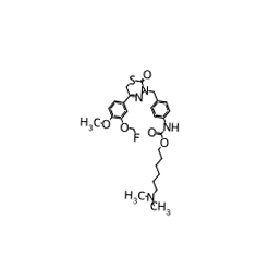 COc1ccc(C2=NN(Cc3ccc(NC(=O)OCCCCCCN(C)C)cc3)C(=O)SC2)cc1OCF